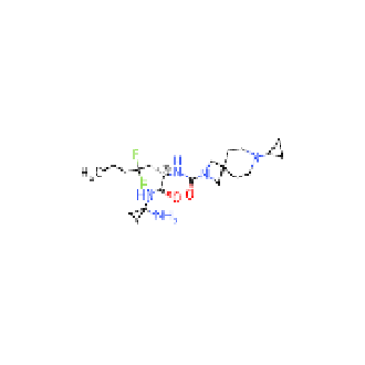 CCCC(F)(F)C[C@H](NC(=O)N1CC2(CCN(C3CC3)CC2)C1)C(=O)NC1(N)CC1